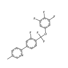 Cc1ccc(-c2ccc(C(F)(F)Oc3cc(F)c(F)c(F)c3)c(F)c2)nc1